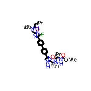 CCC[C@@H](c1nc(-c2ccc(-c3ccc(-c4nc(CN(C(=O)CC(C)C)[C@@H](C)CC)[nH]c4F)cc3)cc2)c[nH]1)N(C)C(=O)C(NC(=O)OC)C(C)C